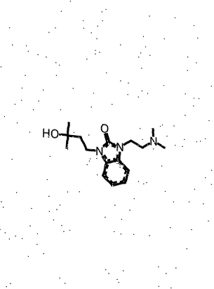 CN(C)CCn1c(=O)n(CCC(C)(C)O)c2ccccc21